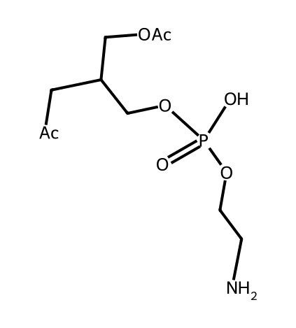 CC(=O)CC(COC(C)=O)COP(=O)(O)OCCN